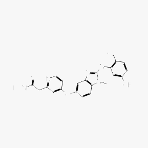 Cn1c(Nc2cc(C(F)(F)F)ccc2Cl)nc2cc(Oc3ccnc(CC(N)=O)c3)ccc21